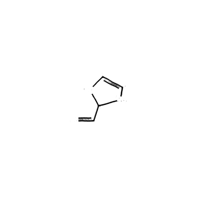 S=CC1NC=CO1